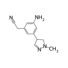 CN1CC(c2cc(N)cc(CC#N)c2)C=N1